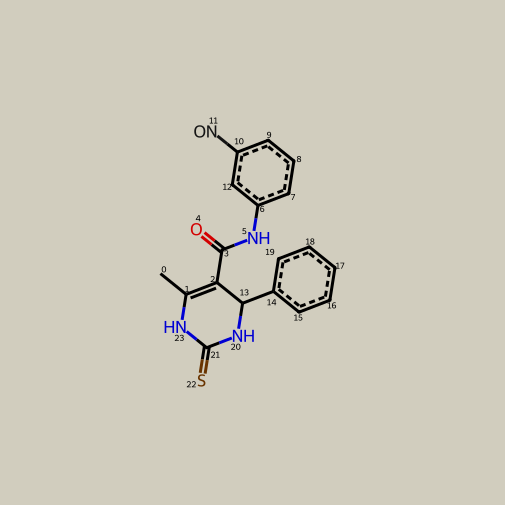 CC1=C(C(=O)Nc2cccc(N=O)c2)C(c2ccccc2)NC(=S)N1